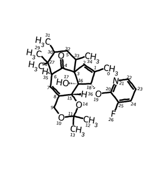 CC1=CC23C(=O)[C@@H](C=C4COC(C)(C)O[C@H]4[C@]2(O)[C@H]1Oc1ncccc1F)C(C)(C)C(C)CC3C